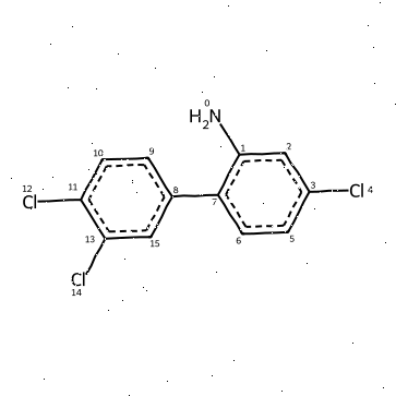 Nc1cc(Cl)ccc1-c1ccc(Cl)c(Cl)c1